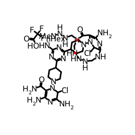 O=C(O)C(F)(F)F.[CH2]NNNCN1CNNNCNC2=NC(N)=C(C1=O)N(N1CCC(c3nc(NCCCCCC)nc(C4CCN(N5C(C(N)=O)=C(N)N=C(N)C5Cl)CC4)n3)CC1)C2Cl